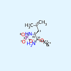 CC(C)C[C@H](NP(=O)([O-])[O-])C(N)=O.[K+].[K+]